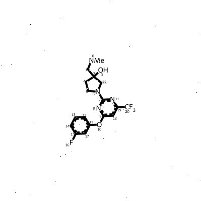 CNCC1(O)CCN(c2nc(Oc3cccc(F)c3)cc(C(F)(F)F)n2)C1